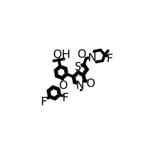 Cn1cc(-c2cc(C(C)(C)O)ccc2Oc2ccc(F)cc2F)c2sc(C(=O)N3CCC(C)(F)CC3)cc2c1=O